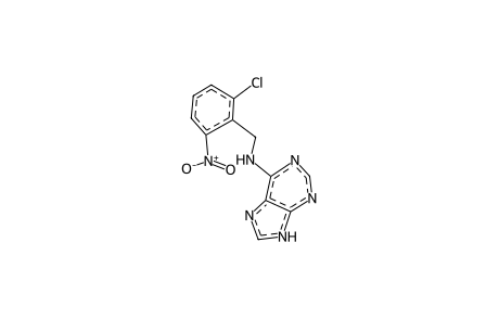 O=[N+]([O-])c1cccc(Cl)c1CNc1ncnc2[nH]cnc12